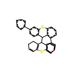 C1=CCC(c2cccc3c2C(C2C4=C(CCC=C4)SC4=C2CCC=C4)c2ccc(-c4ccccc4)cc2S3)C=C1